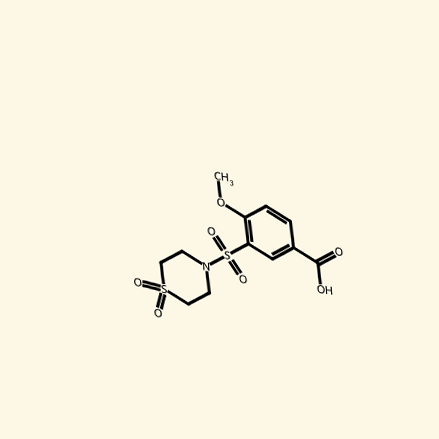 COc1ccc(C(=O)O)cc1S(=O)(=O)N1CCS(=O)(=O)CC1